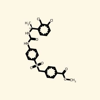 COC(=O)c1ccc(CS(=O)(=O)c2ccc(NC(=O)N[C@@H](C)c3cccc(Cl)c3Cl)cc2)cc1